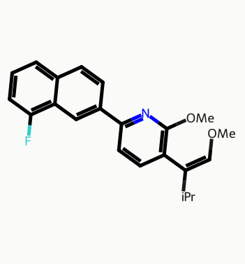 CO/C=C(\c1ccc(-c2ccc3cccc(F)c3c2)nc1OC)C(C)C